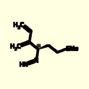 C=CC(=C)[C@H](CCSC)N=N